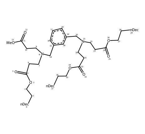 CCCCCCCCCCCCOC(=O)CCN(CCC(=O)OC)Cc1cccc(CN(CCC(=O)OCCCCCCCCCCCC)CCC(=O)OCCCCCCCCCCCC)c1